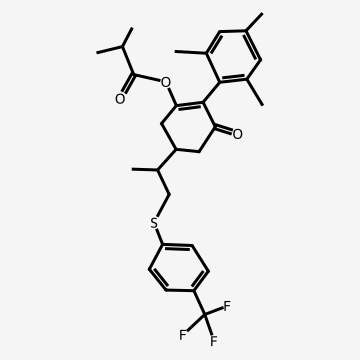 Cc1cc(C)c(C2=C(OC(=O)C(C)C)CC(C(C)CSc3ccc(C(F)(F)F)cc3)CC2=O)c(C)c1